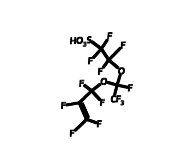 O=S(=O)(O)C(F)(F)C(F)(F)OC(F)(OC(F)(F)C(F)=C(F)F)C(F)(F)F